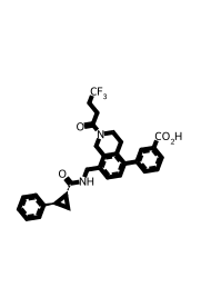 O=C(O)c1cccc(-c2ccc(CNC(=O)[C@@H]3C[C@H]3c3ccccc3)c3c2CCN(C(=O)CCC(F)(F)F)C3)c1